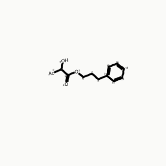 CC(=O)C(O)C(=O)OCCCc1ccccc1